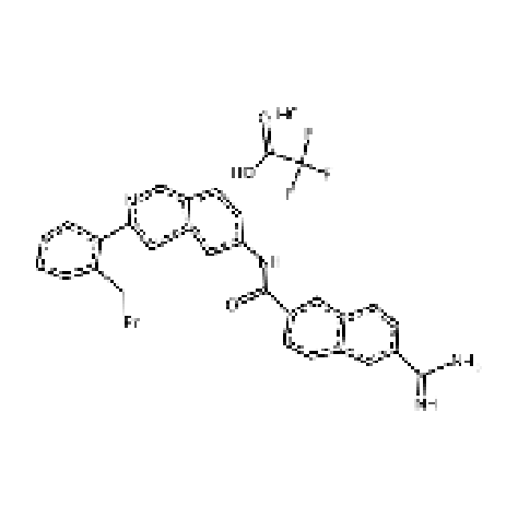 CC(C)Cc1ccccc1-c1cc2cc(NC(=O)c3ccc4cc(C(=N)N)ccc4c3)ccc2cn1.Cl.O=C(O)C(F)(F)F